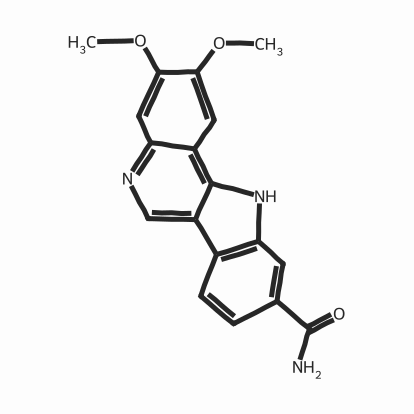 COc1cc2ncc3c4ccc(C(N)=O)cc4[nH]c3c2cc1OC